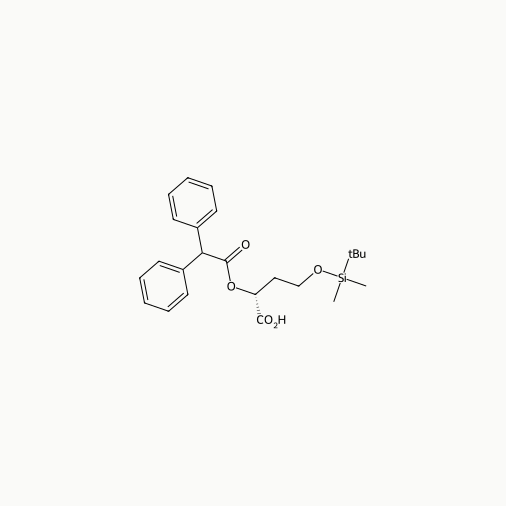 CC(C)(C)[Si](C)(C)OCC[C@@H](OC(=O)C(c1ccccc1)c1ccccc1)C(=O)O